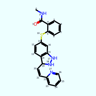 CNC(=O)c1ccccc1Sc1ccc2c(c1)NNC2/C=C\c1ccccn1